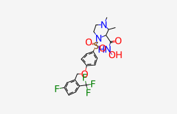 CC1C(C(=O)NO)N(S(=O)(=O)c2ccc(OCc3cc(F)ccc3C(F)(F)F)cc2)CCN1C